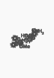 COC(=O)N[C@H](C(=O)NCCCCC(CO)N(CC(C)C)S(=O)(=O)c1ccc(N)c(Cl)c1)C(c1ccccc1)c1ccccc1